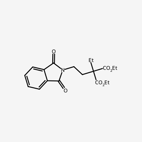 CCOC(=O)C(CC)(CCN1C(=O)c2ccccc2C1=O)C(=O)OCC